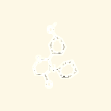 COc1cccc(C2SCCC(=O)N2c2ccccc2)c1